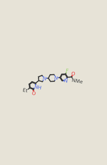 CCc1ccc(C2CCN(C3CCN(c4cnc(C(=O)NC)c(F)c4)CC3)C2)[nH]c1=O